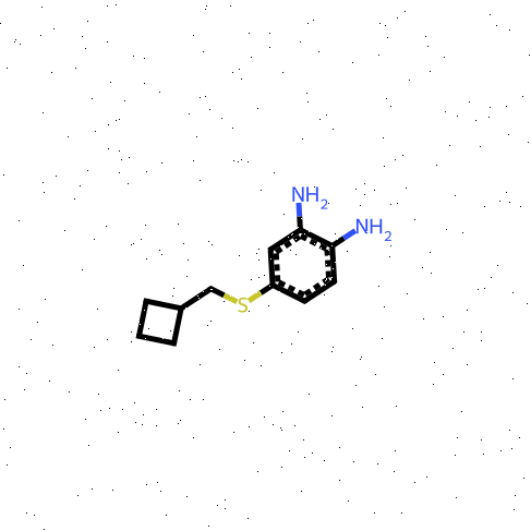 Nc1ccc(SCC2CCC2)cc1N